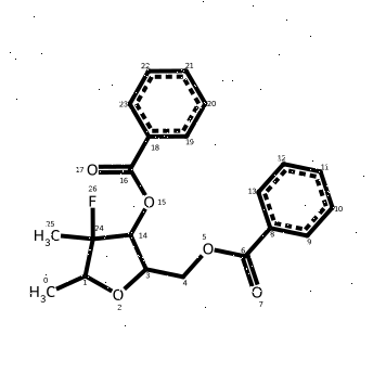 CC1OC(COC(=O)c2ccccc2)C(OC(=O)c2ccccc2)C1(C)F